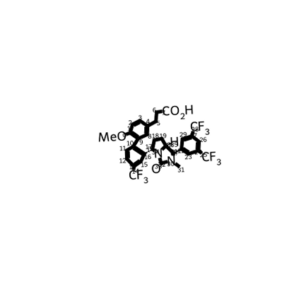 COc1ccc(CCC(=O)O)cc1-c1ccc(C(F)(F)F)cc1[C@@H]1CC[C@H]2[C@@H](c3cc(C(F)(F)F)cc(C(F)(F)F)c3)N(C)C(=O)N12